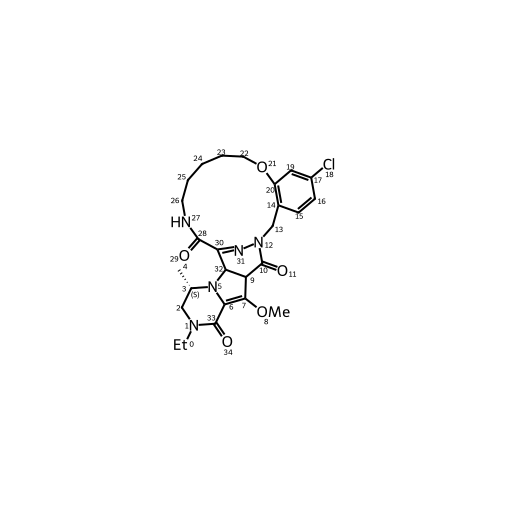 CCN1C[C@H](C)N2C(=C(OC)C3C(=O)N4Cc5ccc(Cl)cc5OCCCCCNC(=O)C(=N4)C32)C1=O